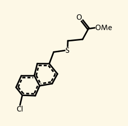 COC(=O)CCSCc1ccc2cc(Cl)ccc2c1